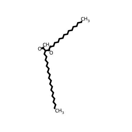 CCCCCCCCCCCCCCCCCCCCC(C(C)=O)C(=O)CCCCCCCCCCCCCCC